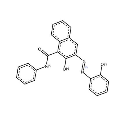 O=C(Nc1ccccc1)c1c(O)c(/N=N/c2ccccc2O)cc2ccccc12